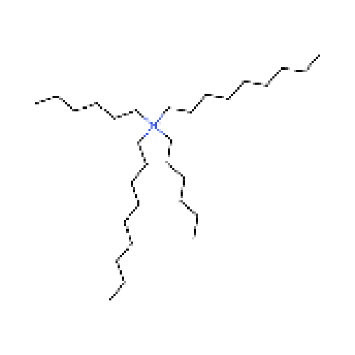 CCCCCCCCC[N+](CCCCCC)(CCCCCC)CCCCCCCCC